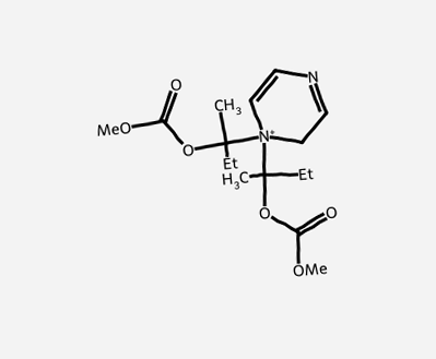 CCC(C)(OC(=O)OC)[N+]1(C(C)(CC)OC(=O)OC)C=CN=CC1